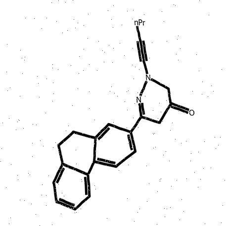 CCCC#CN1CC(=O)CC(c2ccc3c(c2)CCc2ccccc2-3)=N1